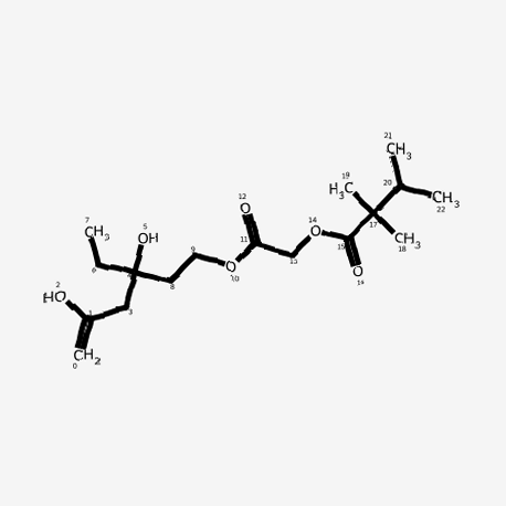 C=C(O)CC(O)(CC)CCOC(=O)COC(=O)C(C)(C)C(C)C